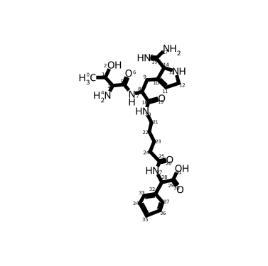 CC(O)C(N)C(=O)NC(CC1=CCNC1C(=N)N)C(=O)NCCCCC(=O)NC(C(=O)O)c1ccccc1